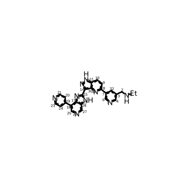 CCNCc1cncc(-c2ccc3[nH]nc(-c4nc5c(-c6ccncc6)cncc5[nH]4)c3n2)c1